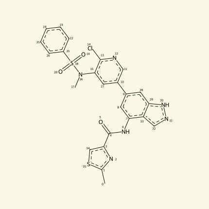 Cc1nc(C(=O)Nc2cc(-c3cnc(Cl)c(N(C)S(=O)(=O)c4ccccc4)c3)cc3[nH]ncc23)cs1